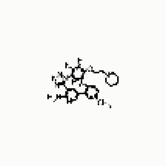 Cc1ccc(C)c(-c2cnc(N)c(-c3nnnn3-c3ccc(OCCN4CCCCC4)c(F)c3F)c2)c1